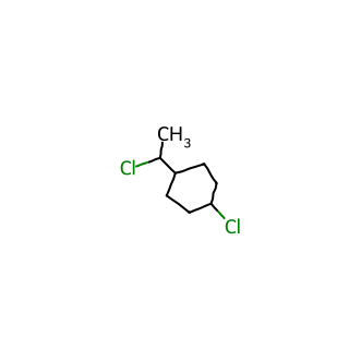 CC(Cl)C1CCC(Cl)CC1